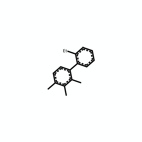 CCc1[c]cccc1-c1ccc(C)c(C)c1C